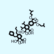 CC(C)CCOC(=O)c1ccccc1C(=O)OCCC(C)C.CC(C)c1ccc(C(=O)O)c(C(=O)O)c1C(C)C.CCCCc1ccc(C(=O)O)c(C(=O)O)c1Cc1ccccc1